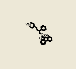 O=C(OCC(CCC1CCNCC1)c1ccccc1)C1(O)c2ccccc2-c2ccccc21